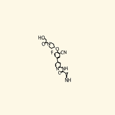 N#Cc1cc(-c2ccnc(NC(=O)C3CC3=N)c2)ccc1O[C@H]1CCN(C(=O)CO)C[C@H]1F